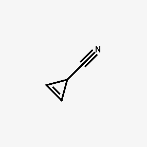 N#CC1C=C1